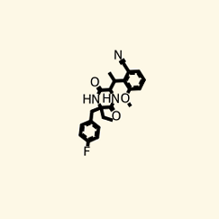 CCC1(Cc2ccc(F)cc2)NC(=O)C(C(C)c2c(C#N)cccc2OC)NC1=O